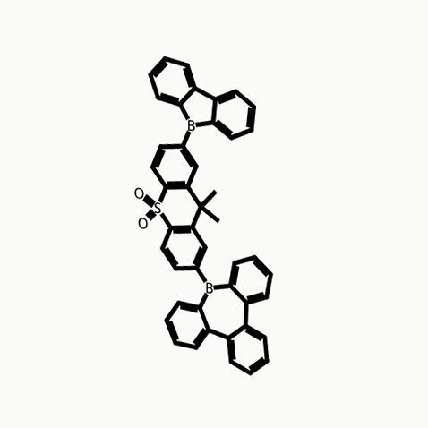 CC1(C)c2cc(B3c4ccccc4-c4ccccc43)ccc2S(=O)(=O)c2ccc(B3c4ccccc4-c4ccccc4-c4ccccc43)cc21